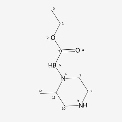 CCOC(=O)BN1CCNCC1C